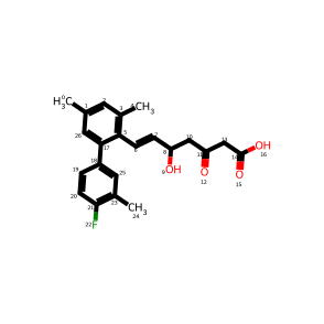 Cc1cc(C)c(/C=C/C(O)CC(=O)CC(=O)O)c(-c2ccc(F)c(C)c2)c1